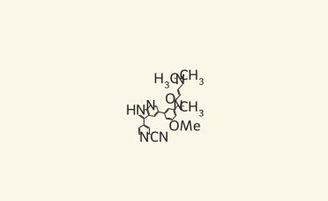 COc1cc(-c2cnc3[nH]cc(-c4ccnc(C#N)c4)c3c2)cc(N(C)C(=O)/C=C/CN(C)C)c1